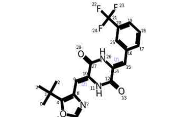 CC(C)(C)c1ocnc1/C=c1\[nH]c(=O)/c(=C/c2cccc(C(F)(F)F)c2)[nH]c1=O